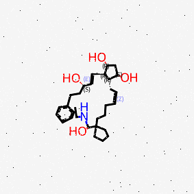 CCNC(O)C1(CCC/C=C\C[C@@H]2[C@@H](/C=C/[C@@H](O)CCc3ccccc3)[C@H](O)C[C@@H]2O)CCCC1